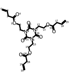 C=CCC(=O)OCCn1c(=O)n(CCOC(=O)CC=C)c(=O)n(CCOC(=O)CC=C)c1=O